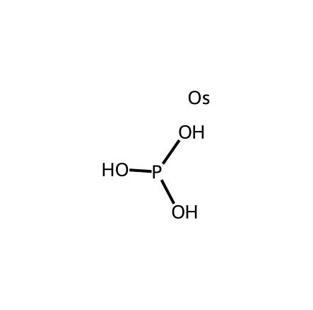 OP(O)O.[Os]